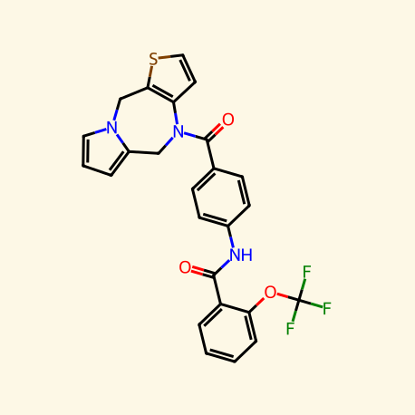 O=C(Nc1ccc(C(=O)N2Cc3cccn3Cc3sccc32)cc1)c1ccccc1OC(F)(F)F